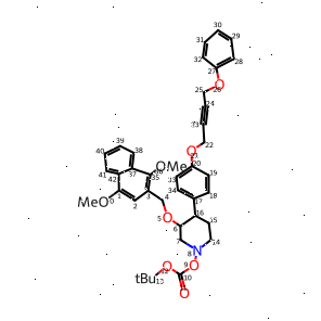 COc1cc(COC2CN(OC(=O)OC(C)(C)C)CCC2c2ccc(OCC#CCOc3ccccc3)cc2)c(OC)c2ccccc12